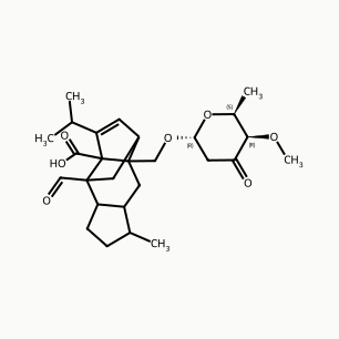 CO[C@H]1C(=O)C[C@H](OCC23CC4C(C)CCC4C4(C=O)CC2C=C(C(C)C)C43C(=O)O)O[C@H]1C